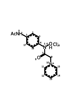 CC(=O)Nc1ccc(N(O)C(=O)C[n+]2ccccc2)cc1.[Cl-]